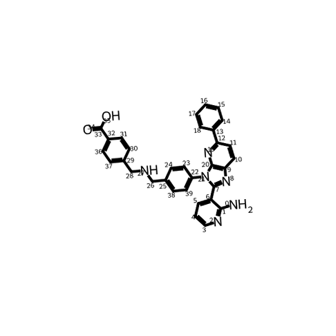 Nc1ncccc1-c1nc2ccc(-c3ccccc3)nc2n1-c1ccc(CNCc2ccc(C(=O)O)cc2)cc1